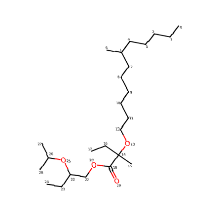 CCCCCC(C)CCCCCCOC(C)(CC)C(=O)OCC(CC)OC(C)C